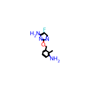 Cc1c(N)cccc1COc1ncc(F)c(N)n1